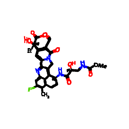 CC[C@@]1(O)C(=O)OCc2c1cc1n(c2=O)Cc2c-1nc1cc(F)c(C)c3c1c2[C@@H](NC(=O)[C@H](O)CNC(=O)OC)CC3